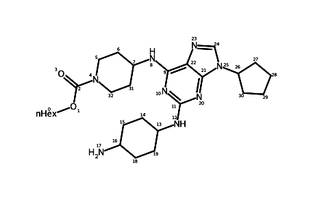 CCCCCCOC(=O)N1CCC(Nc2nc(NC3CCC(N)CC3)nc3c2ncn3C2CCCC2)CC1